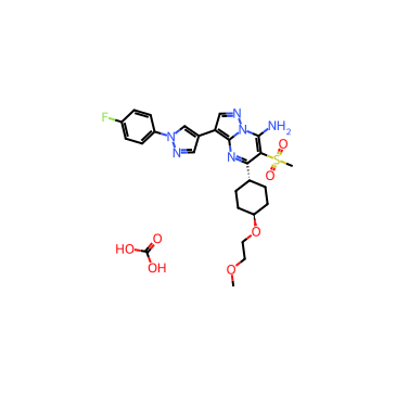 COCCO[C@H]1CC[C@H](c2nc3c(-c4cnn(-c5ccc(F)cc5)c4)cnn3c(N)c2S(C)(=O)=O)CC1.O=C(O)O